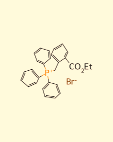 CCOC(=O)c1ccccc1C[P+](c1ccccc1)(c1ccccc1)c1ccccc1.[Br-]